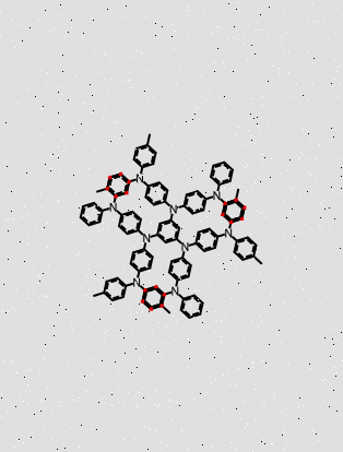 Cc1ccc(N(c2ccc(C)cc2)c2ccc(N(c3ccc(N(c4ccccc4)c4ccccc4)cc3)c3cc(N(c4ccc(N(c5ccccc5)c5ccccc5)cc4)c4ccc(N(c5ccc(C)cc5)c5ccc(C)cc5)cc4)cc(N(c4ccc(N(c5ccccc5)c5ccccc5)cc4)c4ccc(N(c5ccc(C)cc5)c5ccc(C)cc5)cc4)c3)cc2)cc1